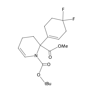 COC(=O)C1(C2=CCC(F)(F)CC2)CCC=CN1C(=O)OC(C)(C)C